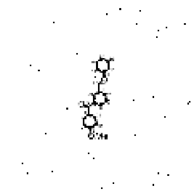 COc1ccc(C(=O)c2cccc(COc3ccccc3)c2)cc1